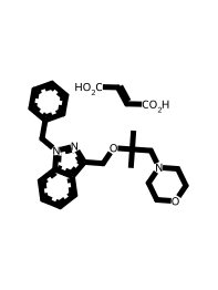 CC(C)(CN1CCOCC1)OCc1nn(Cc2ccccc2)c2ccccc12.O=C(O)C=CC(=O)O